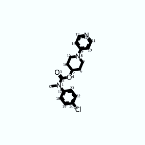 CN(C(=O)OC1CCN(c2ccncc2)CC1)c1ccc(Cl)cc1